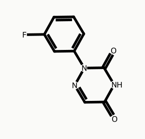 O=c1cnn(-c2cccc(F)c2)c(=O)[nH]1